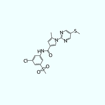 CSc1cnc(-n2cc(C(=O)Nc3cc(Cl)cc(S(C)(=O)=O)c3)cc2C)nc1